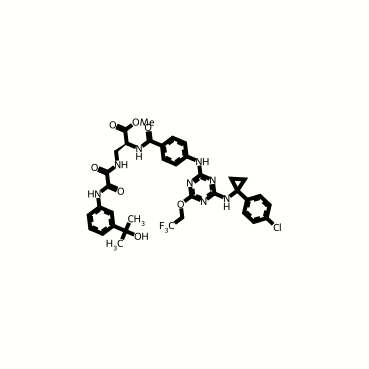 COC(=O)[C@H](CNC(=O)C(=O)Nc1cccc(C(C)(C)O)c1)NC(=O)c1ccc(Nc2nc(NC3(c4ccc(Cl)cc4)CC3)nc(OCC(F)(F)F)n2)cc1